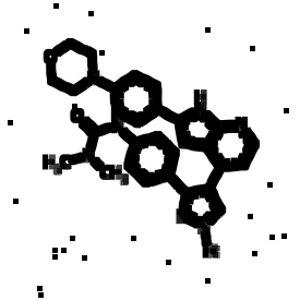 CCn1cc(-c2ccnc3[nH]c(-c4ccc(N5CCOCC5)cc4)cc23)c(-c2ccc(NC(=O)N(C)C)cc2)n1